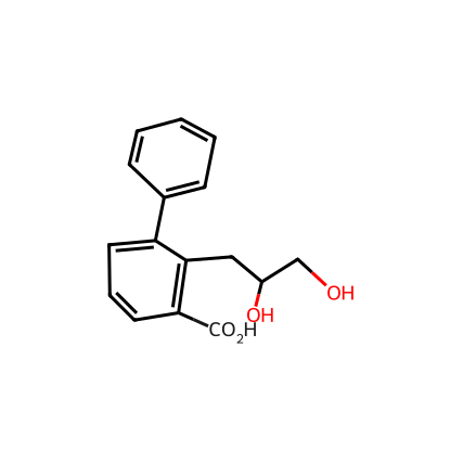 O=C(O)c1cccc(-c2ccccc2)c1CC(O)CO